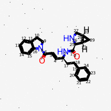 O=C(N[C@H](/C=C/C(=O)N1CCc2ccccc21)CCc1ccccc1)[C@H]1NC[C@H]2C[C@H]21